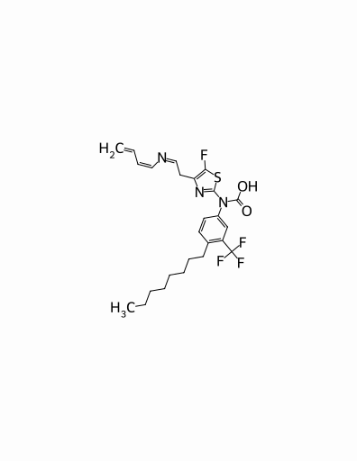 C=C/C=C\N=C/Cc1nc(N(C(=O)O)c2ccc(CCCCCCCC)c(C(F)(F)F)c2)sc1F